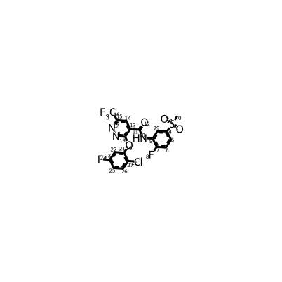 CS(=O)(=O)c1ccc(F)c(NC(=O)c2cc(C(F)(F)F)nnc2Oc2cc(F)ccc2Cl)c1